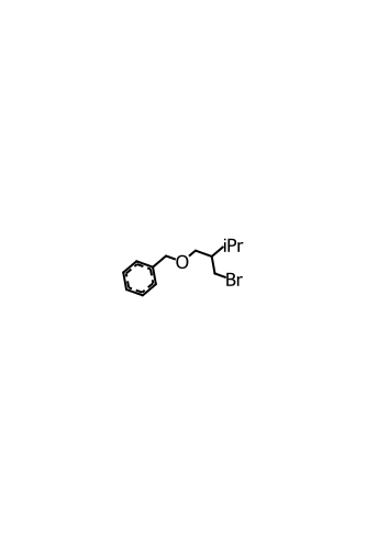 CC(C)C(CBr)COCc1ccccc1